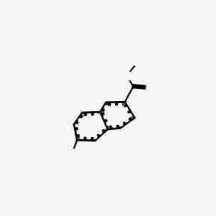 CC(C)(C)OC(=O)c1ccc2cc(O)ccc2c1